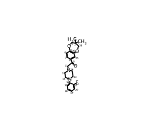 CC1(C)COc2ccc(C(=O)CN3CCN(c4ccccc4F)CC3)cc2OC1